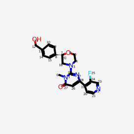 Cn1c(N2CCO[C@@H](c3ccc(CO)cc3)C2)nc(-c2ccncc2F)cc1=O